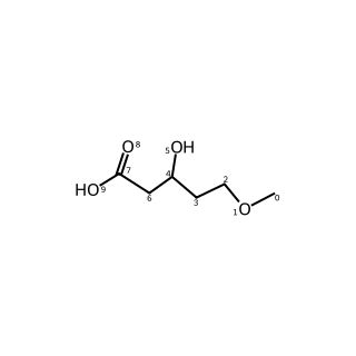 COCCC(O)CC(=O)O